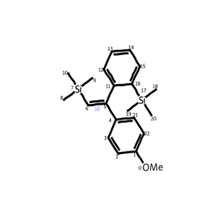 COc1ccc(/C(=C/[Si](C)(C)C)c2ccccc2[Si](C)(C)C)cc1